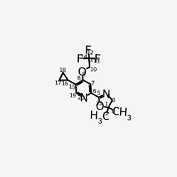 CC1(C)CN=C(c2cc(OCC(F)(F)F)c(C3CC3)cn2)O1